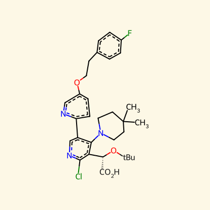 CC1(C)CCN(c2c(-c3ccc(OCCc4ccc(F)cc4)cn3)cnc(Cl)c2[C@H](OC(C)(C)C)C(=O)O)CC1